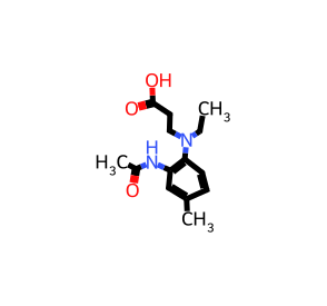 CCN(CCC(=O)O)c1ccc(C)cc1NC(C)=O